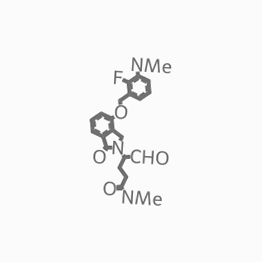 CNC(=O)CCC(C=O)N1Cc2c(OCc3cccc(NC)c3F)cccc2C1=O